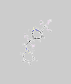 FC(F)(F)c1ccc(C(F)(F)CN2CCCCC2)cn1